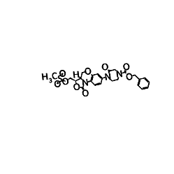 CS(=O)(=O)OC[C@@H]1OC(=O)N2c3ccc(N4CCN(C(=O)OCc5ccccc5)CC4=O)cc3OC[C@@H]12